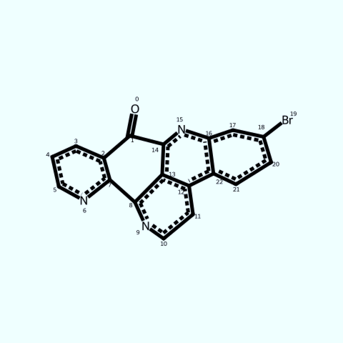 O=C1c2cccnc2-c2nccc3c2c1nc1cc(Br)ccc13